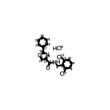 Cl.O=C(NCc1c(Cl)cccc1Cl)c1coc(-c2ccccc2)n1